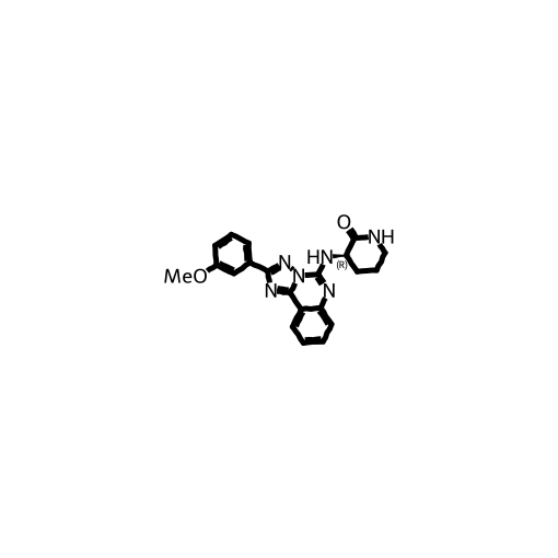 COc1cccc(-c2nc3c4ccccc4nc(N[C@@H]4CCCNC4=O)n3n2)c1